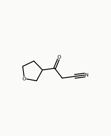 N#CCC(=O)C1CCOC1